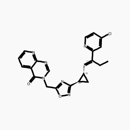 CC/C(=C\[C@@H]1C[C@H]1c1noc(Cn2cnc3ncccc3c2=O)n1)c1cc(Cl)ccn1